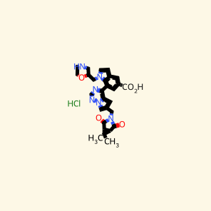 CC1(C)C2C(=O)N(Cc3cc4c(-c5cc(C(=O)O)cc6ccn(CC7CNCCO7)c56)ncnn4c3)C(=O)C21.Cl